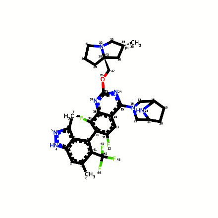 Cc1cc2[nH]nc(C)c2c(-c2c(F)cc3c(N4CC5CCC(C4)N5)nc(OC[C@@]45CCCN4C[C@H](C)C5)nc3c2F)c1C(F)(F)F